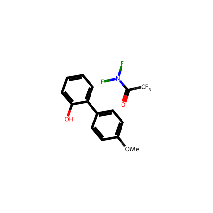 COc1ccc(-c2ccccc2O)cc1.O=C(N(F)F)C(F)(F)F